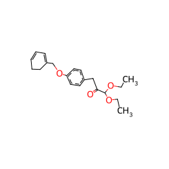 CCOC(OCC)C(=O)Cc1ccc(OCC2=CC=CCC2)cc1